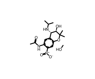 CC(=O)Nc1cc2c(cc1[N+](=O)[O-])OC(C)(C)[C@H](O)[C@H]2NC(C)C.CO